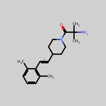 Cc1cccc(C)c1/C=C/C1CCN(C(=O)C(C)(C)N)CC1